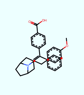 COc1ccc(CCN2C3CCC2CC(=C(c2ccccc2)c2ccc(C(=O)O)cc2)C3)cc1